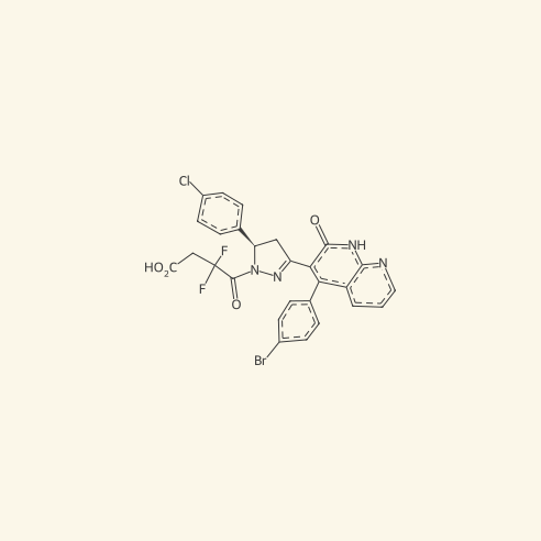 O=C(O)CC(F)(F)C(=O)N1N=C(c2c(-c3ccc(Br)cc3)c3cccnc3[nH]c2=O)C[C@@H]1c1ccc(Cl)cc1